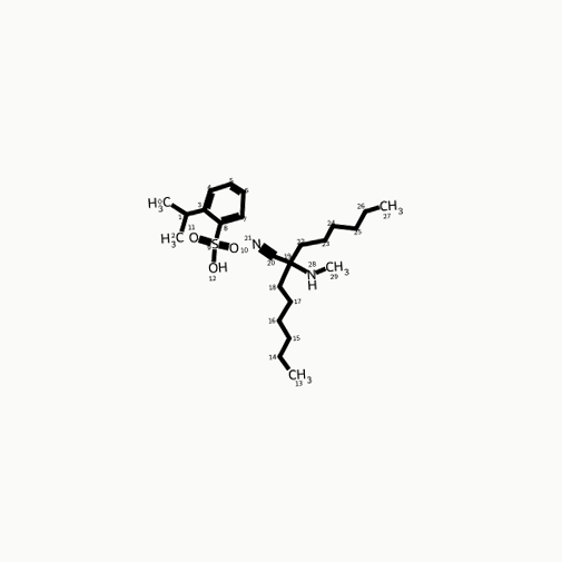 CC(C)c1ccccc1S(=O)(=O)O.CCCCCCC(C#N)(CCCCCC)NC